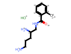 Cl.NCCCC(N)CNC(=O)c1ccccc1C(F)(F)F